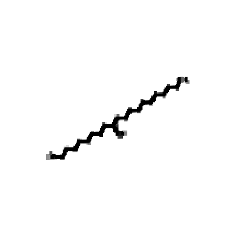 CCCCCCCCCCC[CH]([PoH])CCCCCCCCO